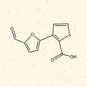 O=Cc1ccc(-c2ccsc2C(=O)O)o1